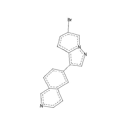 Brc1ccc2c(-c3ccc4cnccc4c3)cnn2c1